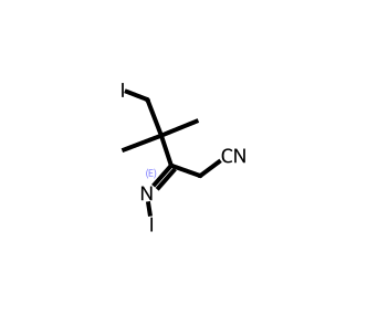 CC(C)(CI)/C(CC#N)=N/I